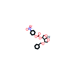 O=C(Oc1ccc([N+](=O)[O-])cc1)O[C@H]1CO[C@H]2OC[C@@H](OCc3ccccc3)C21